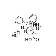 Cl.Cl.N[C@H]1[C@H]2CCN(C[C@@H]2C(=O)O)[C@H]1C(c1ccccc1)c1ccccc1